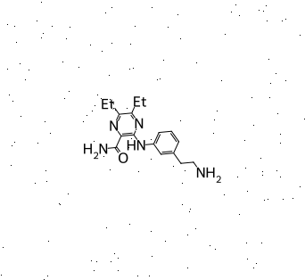 CCc1nc(Nc2cccc(CCN)c2)c(C(N)=O)nc1CC